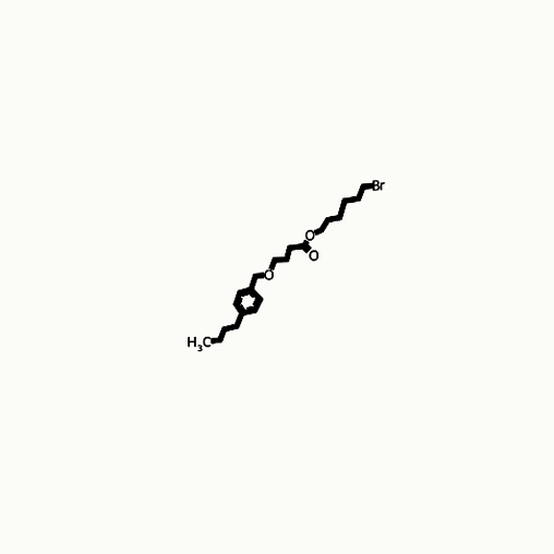 CCCCc1ccc(COCCCC(=O)OCCCCCCBr)cc1